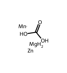 O=C(O)O.[MgH2].[Mn].[Zn]